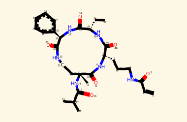 C=CC(=O)NCCC[C@@H]1NC(=O)[C@](C)(NC(=O)C(C)C)CCNC(=O)[C@@H](c2ccccc2)NC(=O)[C@H](CC)NC1=O